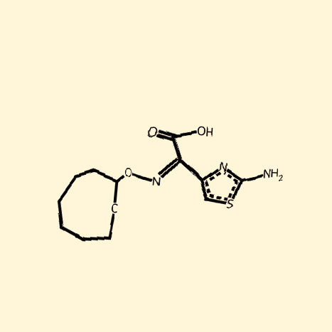 Nc1nc(C(=NOC2CCCCCCC2)C(=O)O)cs1